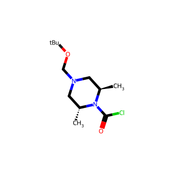 C[C@@H]1CN(COC(C)(C)C)C[C@@H](C)N1C(=O)Cl